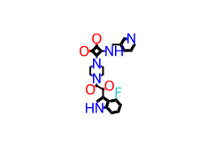 O=C(C(=O)N1CCN(c2c(NCc3cccnc3)c(=O)c2=O)CC1)c1c[nH]c2cccc(F)c12